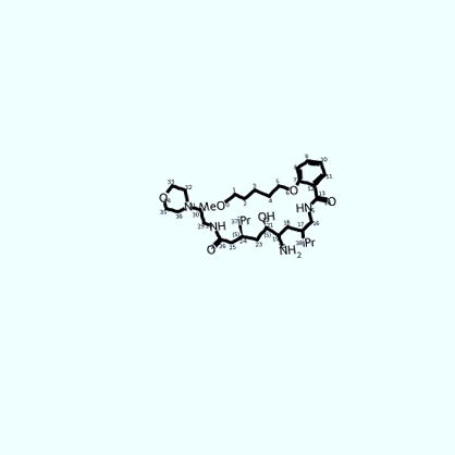 COCCCCCOc1ccccc1C(=O)NCC(CC(N)[C@@H](O)C[C@@H](CC(=O)NCCN1CCOCC1)C(C)C)C(C)C